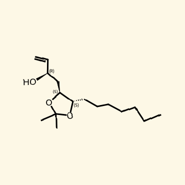 C=C[C@H](O)C[C@@H]1OC(C)(C)O[C@H]1CCCCCCC